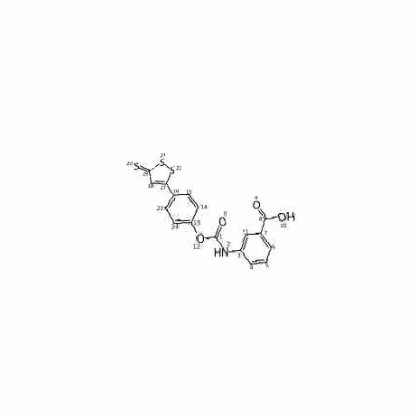 O=C(Nc1cccc(C(=O)O)c1)Oc1ccc(-c2cc(=S)ss2)cc1